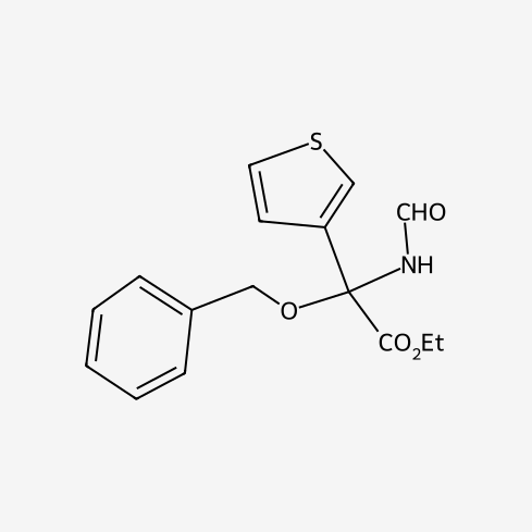 CCOC(=O)C(NC=O)(OCc1ccccc1)c1ccsc1